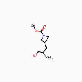 CC(CO)CC1CN(C(=O)OC(C)(C)C)C1